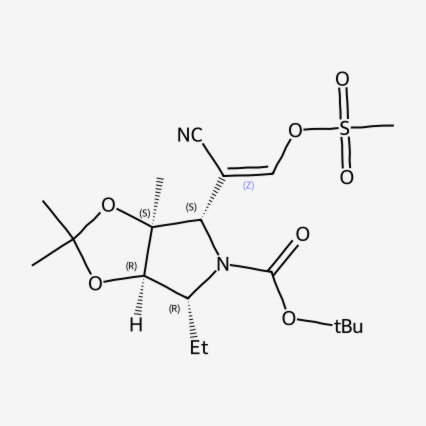 CC[C@@H]1[C@H]2OC(C)(C)O[C@@]2(C)[C@H](/C(C#N)=C/OS(C)(=O)=O)N1C(=O)OC(C)(C)C